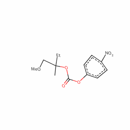 CCC(C)(COC)OC(=O)Oc1ccc([N+](=O)[O-])cc1